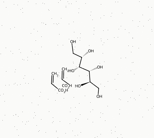 C=CC(=O)O.C=CC(=O)O.OC[C@@H](O)[C@@H](O)[C@H](O)[C@@H](O)CO